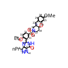 CCCc1nn(C)c2c(=O)[nH]c(-c3cc(S(=O)(=O)N4CCC(=O)/C(=C\c5ccc(OC)cc5)C4)ccc3OCC)nc12